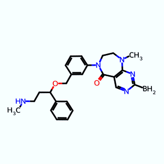 Bc1ncc2c(n1)N(C)CCN(c1cccc(COC(CCNC)c3ccccc3)c1)C2=O